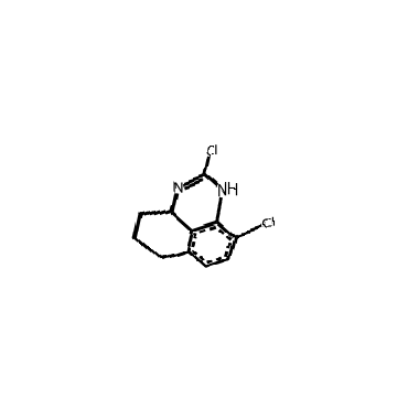 ClC1=NC2CCCc3ccc(Cl)c(c32)N1